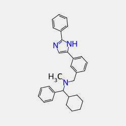 CN(Cc1cccc(-c2cnc(-c3ccccc3)[nH]2)c1)C(c1ccccc1)C1CCCCC1